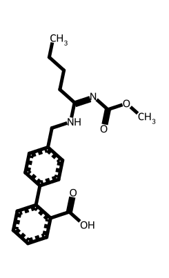 CCCC/C(=N/C(=O)OC)NCc1ccc(-c2ccccc2C(=O)O)cc1